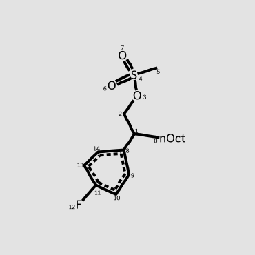 CCCCCCCCC(COS(C)(=O)=O)c1ccc(F)cc1